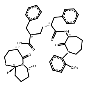 CC[C@@H]1CCC[C@@H]2SCC[C@H](NC(=O)[C@H](CC[C@H](Cc3ccccc3)C(=O)N[C@H]3CCCCN(c4ccccc4OC)C3=O)Cc3ccccc3)C(=O)N12